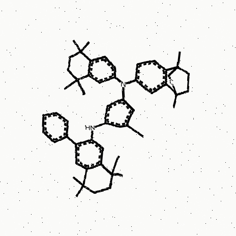 Cc1cc(Nc2cc3c(cc2-c2ccccc2)C(C)(C)CCC3(C)C)cc(N(c2ccc3c(c2)C(C)(C)CCC3(C)C)c2ccc3c(c2)C2(C)CCC3(C)CC2)c1